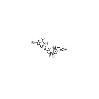 CC(C)C(NC(=O)C[C@@H](C)C1CC[C@H]2C3[C@H](O)CC4C[C@H](O)CCC4(C)[C@H]3CCC12C)c1ccc(Br)s1